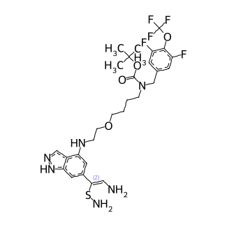 CC(C)(C)OC(=O)N(CCCCOCCNc1cc(/C(=C/N)SN)cc2[nH]ncc12)Cc1cc(F)c(OC(F)(F)F)c(F)c1